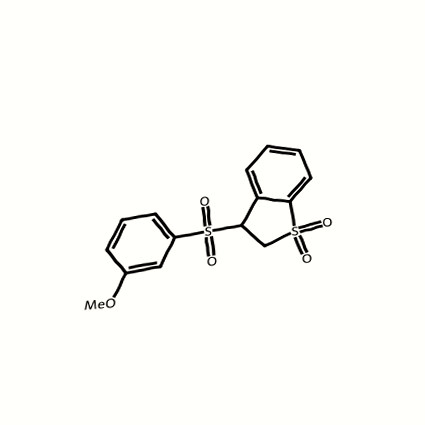 COc1cccc(S(=O)(=O)C2CS(=O)(=O)c3ccccc32)c1